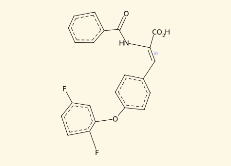 O=C(O)/C(=C/c1ccc(Oc2cc(F)ccc2F)cc1)NC(=O)c1ccccc1